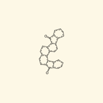 O=c1c2ccccc2c2c1ccc1ccc3c(ccc4c5ccccc5c(=O)c43)c12